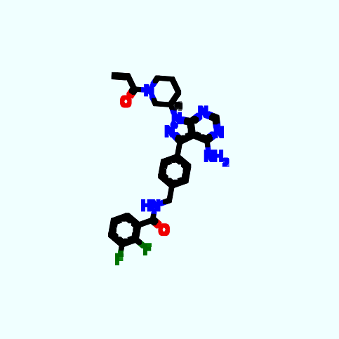 C=CC(=O)N1CCC[C@@H](n2nc(-c3ccc(CNC(=O)c4cccc(F)c4F)cc3)c3c(N)ncnc32)C1